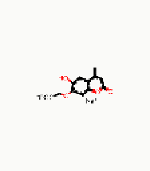 Cc1cc(=O)oc2cc(OCC(=O)[O-])c(O)cc12.[Na+]